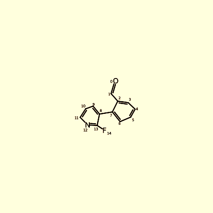 O=Cc1ccccc1-c1cccnc1F